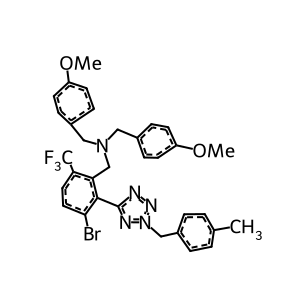 COc1ccc(CN(Cc2ccc(OC)cc2)Cc2c(C(F)(F)F)ccc(Br)c2-c2nnn(Cc3ccc(C)cc3)n2)cc1